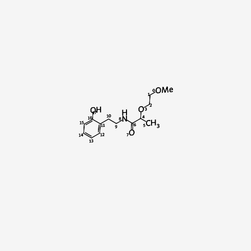 COCCOC(C)C(=O)NCCc1ccccc1O